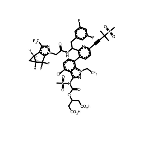 CC(C)(C#Cc1ccc(-c2ccc(Cl)c3c(N(C(=O)OC(CC(=O)O)CC(=O)O)S(C)(=O)=O)nn(CC(F)(F)F)c23)c(C(Cc2cc(F)cc(F)c2)NC(=O)Cn2nc(C(F)(F)F)c3c2C(F)(F)[C@@H]2C[C@H]32)n1)S(C)(=O)=O